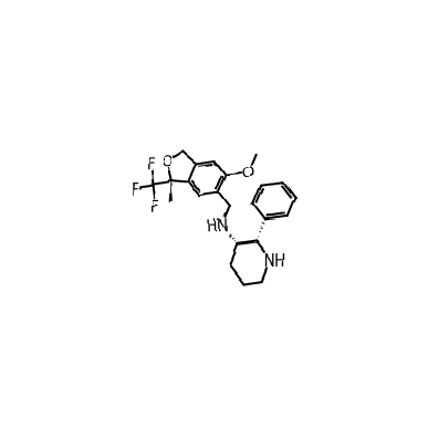 COc1cc2c(cc1CN[C@H]1CCCN[C@H]1c1ccccc1)[C@](C)(C(F)(F)F)OC2